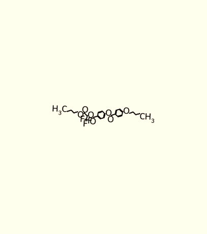 CCCCCOC(=O)C(OC(=O)c1ccc(OC(=O)c2ccc(OCCCCC)cc2)cc1)C(F)(F)F